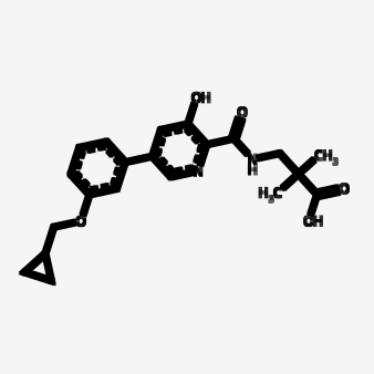 CC(C)(CNC(=O)c1ncc(-c2cccc(OCC3CC3)c2)cc1O)C(=O)O